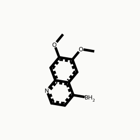 Bc1ccnc2cc(OC)c(OC)cc12